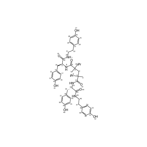 CC(C)C(C)(CC(C)(C(=O)N[C@@H](Cc1ccc(O)cc1)C(=O)NCCc1ccc(O)cc1)C(C)C)C(=O)N[C@@H](Cc1ccc(O)cc1)C(=O)NCCc1ccc(O)cc1